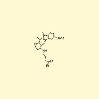 CCN(CC)CCCNc1ccnc2c(C)c3c(cc12)c1cc(OC)ccc1n3C